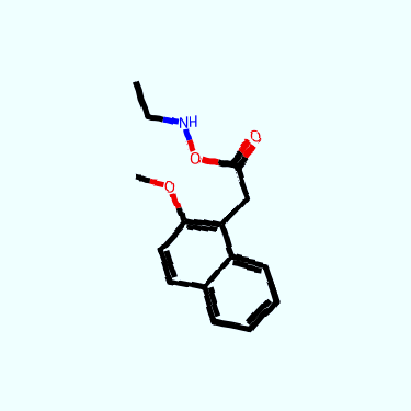 CCNOC(=O)Cc1c(OC)ccc2ccccc12